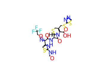 O=CNc1nc(/C(=N/OCC(F)(F)F)C(=O)NC2C(=O)N3C(C(=O)O)=C(CSc4nncs4)CS[C@H]23)cs1